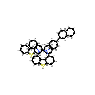 c1ccc(N(c2ccccc2)c2cccc3sc4cccc(N(c5ccc(-c6ccc7ccccc7c6)cc5)c5ccc6c(c5)sc5ccccc56)c4c23)cc1